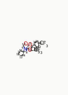 CC(OC1OC=CN(Cc2ccccc2)C1=O)c1ccc(C(F)(F)F)cc1C(F)(F)F